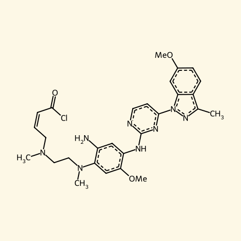 COc1ccc2c(C)nn(-c3ccnc(Nc4cc(N)c(N(C)CCN(C)C/C=C\C(=O)Cl)cc4OC)n3)c2c1